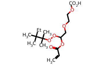 C=CC(=O)OC(COCCOC(=O)O)OOC(C)(C)C(C)(C)CC